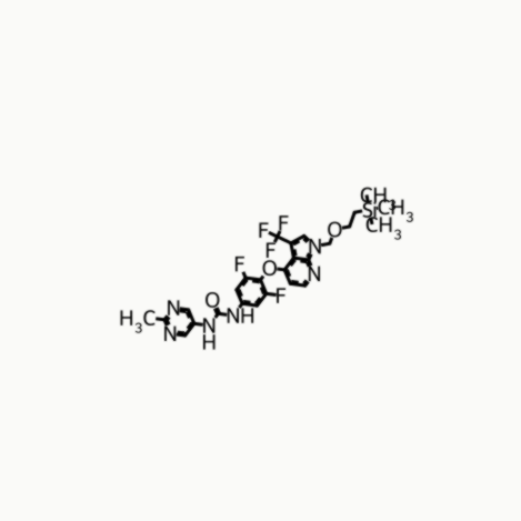 Cc1ncc(NC(=O)Nc2cc(F)c(Oc3ccnc4c3c(C(F)(F)F)cn4COCC[Si](C)(C)C)c(F)c2)cn1